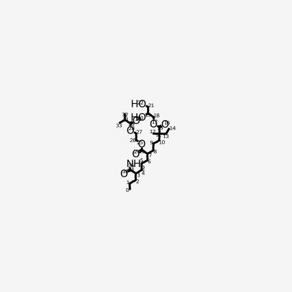 CCCC(CCCC(CCCC(C)(CC)C(=O)OCC(O)CO)C(=O)OCCOC(=O)C(C)C)C(N)=O